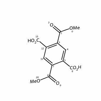 COC(=O)c1cc(C(=O)O)c(C(=O)OC)cc1C(=O)O